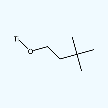 CC(C)(C)CC[O][Ti]